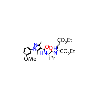 CCOC(=O)CC[C@@H](NC(=O)[C@@H](NC(=O)c1c(C)nn(-c2cccc(OC)c2)c1C)C(C)C)C(=O)OCC